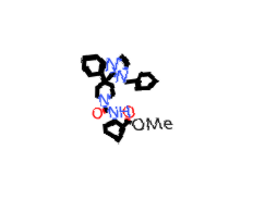 COC(=O)c1ccccc1NC(=O)N1CCC(c2ccccc2)(c2nccn2Cc2ccccc2)CC1